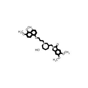 COc1cc2c(cc1OC)C(=O)N(CC1CCCCN(CCCOc3cccc4c(OC)c(OC)ccc34)C1)C2.Cl